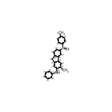 CCN(c1ccc(C)cc1)c1ccc2c(c1)-c1cc(C)c(Nc3ccccc3)cc1C2